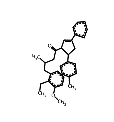 CCc1c(CC(C)CC(=O)C2C=C(c3ccccc3)CC2c2ccc(C)cc2)cccc1OC